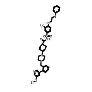 CCOc1cncc(-c2ccccc2CN2CCN(C3=CCC(C(=O)NS(=O)(=O)c4ccc(NCCSc5ccccc5)c(C(F)(F)F)c4)C=C3)CC2)c1